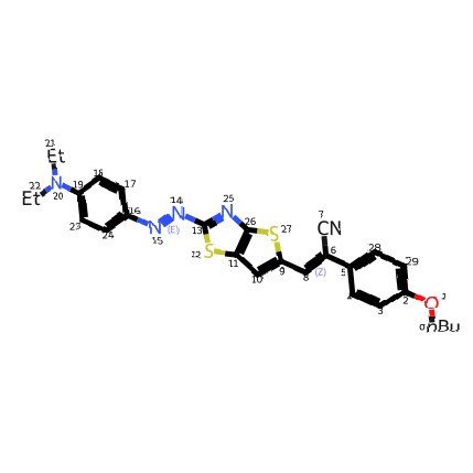 CCCCOc1ccc(/C(C#N)=C/c2cc3sc(/N=N/c4ccc(N(CC)CC)cc4)nc3s2)cc1